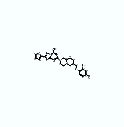 Nc1nc(N2CCN3CC(COc4ccc(F)cc4F)CCC3C2)nc2nc(-c3ccco3)nn12